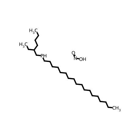 CCCCCCCCCCCCCCCCCCPCC(CC)CCCC.O=NO